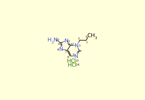 CCCn1cncc2nc(N)nc1-2.Cl.Cl